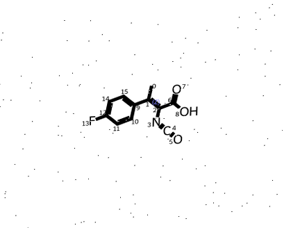 C/C(=C(/N=C=O)C(=O)O)c1ccc(F)cc1